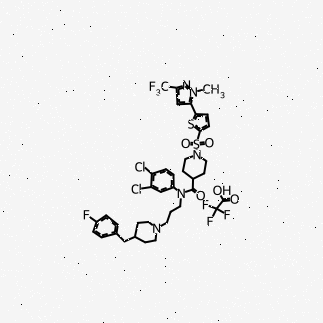 Cn1nc(C(F)(F)F)cc1-c1ccc(S(=O)(=O)N2CCC(C(=O)N(CCCN3CCC(Cc4ccc(F)cc4)CC3)c3ccc(Cl)c(Cl)c3)CC2)s1.O=C(O)C(F)(F)F